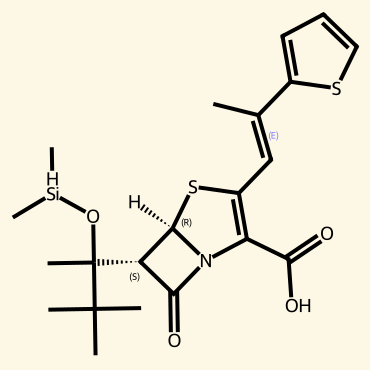 C/C(=C\C1=C(C(=O)O)N2C(=O)[C@H](C(C)(O[SiH](C)C)C(C)(C)C)[C@H]2S1)c1cccs1